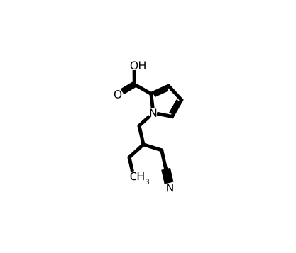 CCC(CC#N)Cn1cccc1C(=O)O